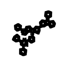 c1ccc(-c2cc(-c3ccccc3)nc(-c3cccc(-n4c5ccc(-c6ccc7c(c6)c6ccccc6n7-c6ccccc6)cc5c5ccc6c(ccn6-c6ccccc6)c54)c3)n2)cc1